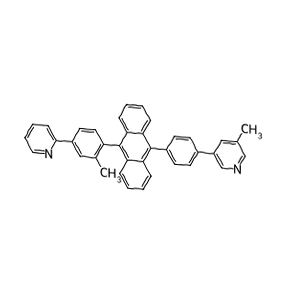 Cc1cncc(-c2ccc(-c3c4ccccc4c(-c4ccc(-c5ccccn5)cc4C)c4ccccc34)cc2)c1